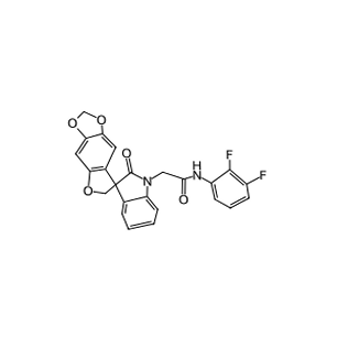 O=C(CN1C(=O)C2(COc3cc4c(cc32)OCO4)c2ccccc21)Nc1cccc(F)c1F